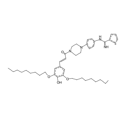 CCCCCCCCCOc1cc(C=CC(=O)N2CCN(c3ccc(NC(=N)c4cccs4)cc3)CC2)cc(OCCCCCCCCC)c1O